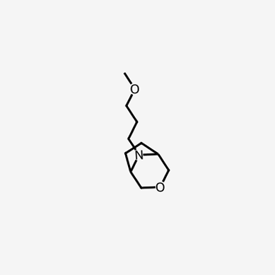 COCCCN1C2CCC1COC2